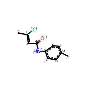 CC(Cl)=CC(=O)Nc1ccc(C)cc1